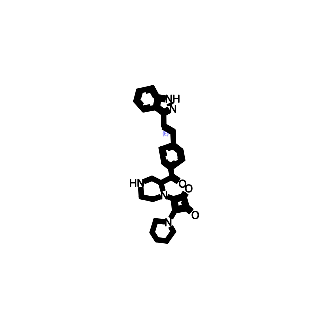 O=C(c1ccc(/C=C/c2n[nH]c3ccccc23)cc1)C1CNCCN1c1c(N2CCCCC2)c(=O)c1=O